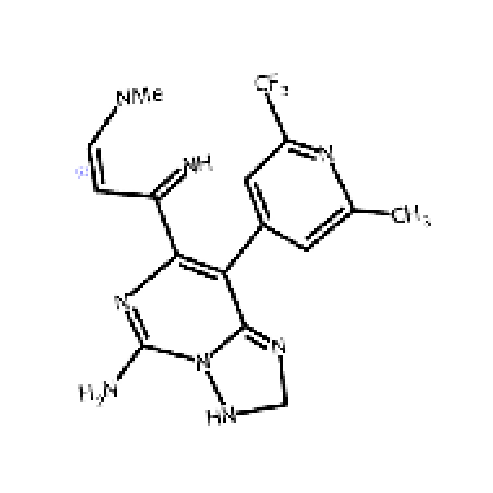 CN/C=C\C(=N)C1=C(c2cc(C)nc(C(F)(F)F)c2)C2=NCNN2C(N)=N1